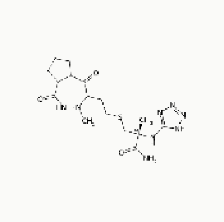 CN1NC(=O)C2CCCC2C(=O)C1CCSC[C@](C)(Nc1nnn[nH]1)C(N)=O